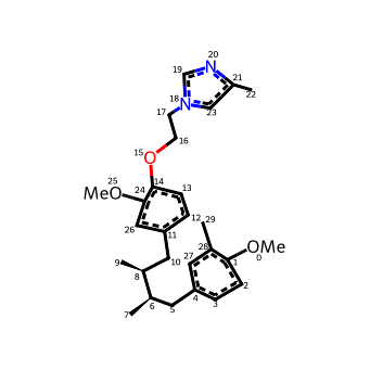 COc1ccc(C[C@@H](C)[C@@H](C)Cc2ccc(OCCn3cnc(C)c3)c(OC)c2)cc1C